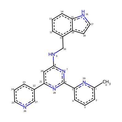 Cc1cccc(-c2nc(NCc3cccc4[nH]ccc34)cc(-c3cccnc3)n2)n1